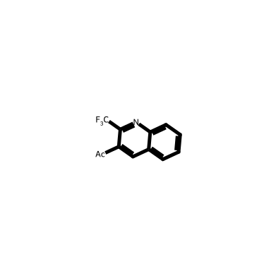 CC(=O)c1cc2ccccc2nc1C(F)(F)F